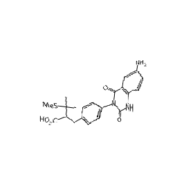 CSC(C)(C)C(Cc1ccc(-n2c(=O)[nH]c3ccc(N)cc3c2=O)cc1)C(=O)O